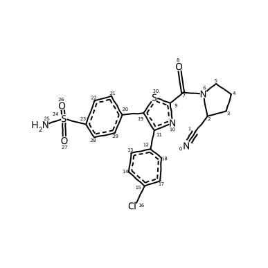 N#CC1CCCN1C(=O)c1nc(-c2ccc(Cl)cc2)c(-c2ccc(S(N)(=O)=O)cc2)s1